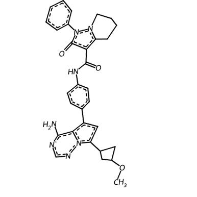 COC1CC(c2cc(-c3ccc(NC(=O)c4c5n(n(-c6ccccc6)c4=O)CCCC5)cc3)c3c(N)ncnn23)C1